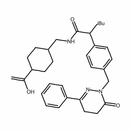 C=C(O)C1CCC(CNC(=O)C(c2ccc(CN3N=C(c4ccccc4)CCC3=O)cc2)C(C)CC)CC1